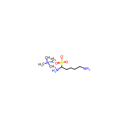 C[N+](C)(C)C.NCCCCC(N)S(=O)(=O)[O-]